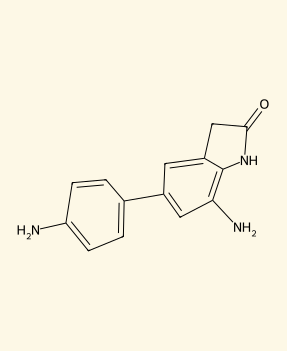 Nc1ccc(-c2cc(N)c3c(c2)CC(=O)N3)cc1